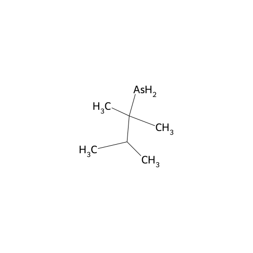 CC(C)C(C)(C)[AsH2]